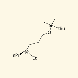 CCC[C@H](CC)CCCO[Si](C)(C)C(C)(C)C